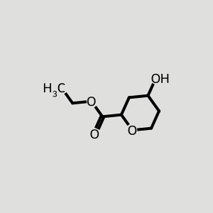 CCOC(=O)C1CC(O)CCO1